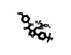 CC(C)NCc1c(C(=O)N[C@H]2CC[C@H](O)CC2)noc1-c1ccc(C(F)(F)F)cc1